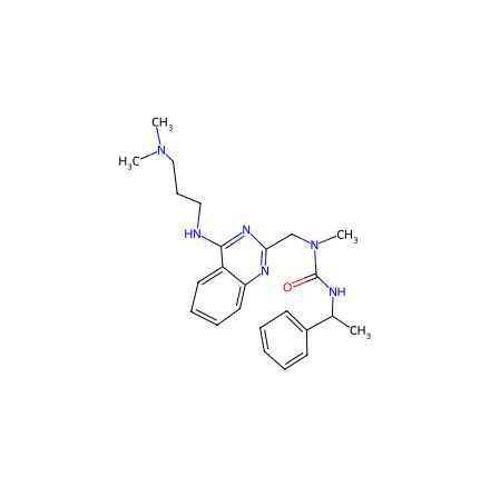 CC(NC(=O)N(C)Cc1nc(NCCCN(C)C)c2ccccc2n1)c1ccccc1